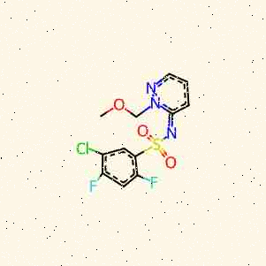 COCn1ncccc1=NS(=O)(=O)c1cc(Cl)c(F)cc1F